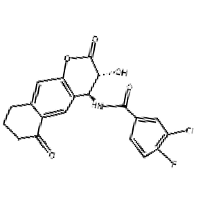 O=C(N[C@H]1c2cc3c(cc2OC(=O)[C@@H]1O)CCCC3=O)c1ccc(F)c(Cl)c1